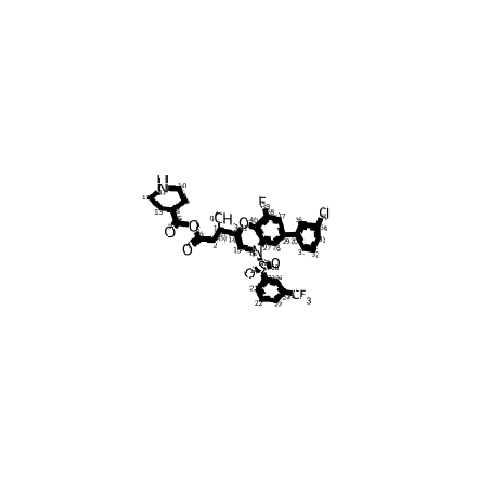 C[C@@H](CC(=O)OC(=O)C1CCNCC1)C1CN(S(=O)(=O)c2cccc(C(F)(F)F)c2)c2cc(-c3cccc(Cl)c3)cc(F)c2O1